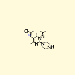 CC(C)=NN1C(N2CCNCC2)=NC(C)=C(/C=C(\C)Cl)C1C